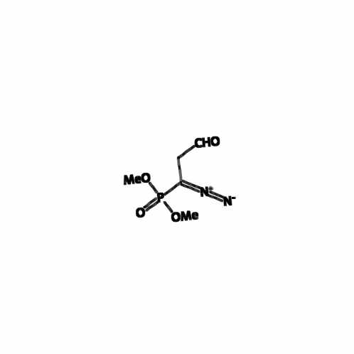 COP(=O)(OC)C(CC=O)=[N+]=[N-]